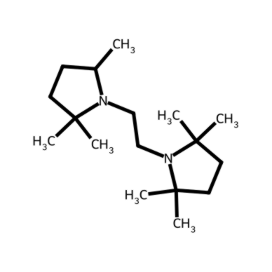 CC1CCC(C)(C)N1CCN1C(C)(C)CCC1(C)C